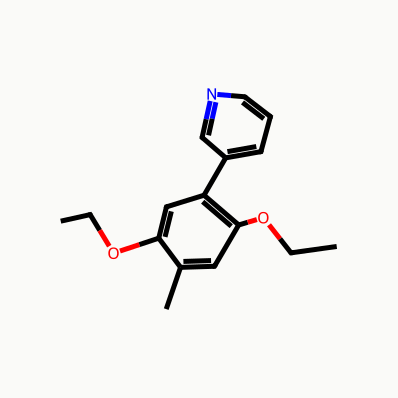 CCOc1cc(-c2cccnc2)c(OCC)cc1C